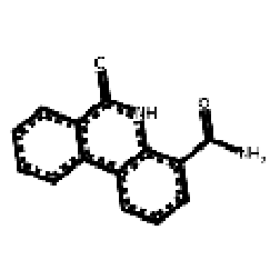 NC(=O)c1cccc2c1[nH]c(=O)c1ccccc12